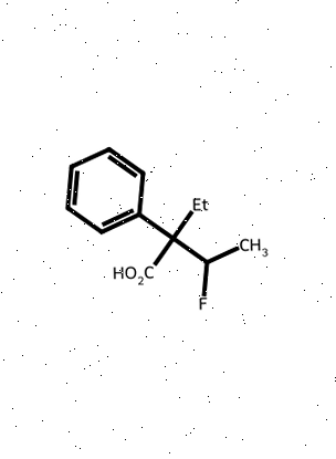 CCC(C(=O)O)(c1ccccc1)C(C)F